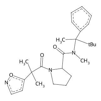 CN(C(=O)C1CCCN1C(=O)C(C)(C)c1ccno1)C(C)(c1ccccc1)C(C)(C)C